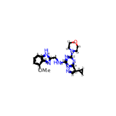 COc1cccc2[nH]c(CNc3nc(N4CCOCC4)nc4c(C5CC5)cnn34)nc12